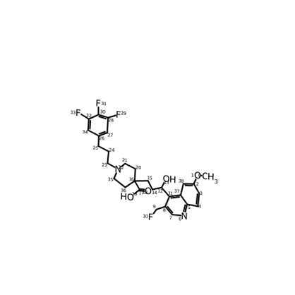 COc1ccc2ncc(CF)c(C(O)CCC3(C(=O)O)CCN(CCCc4cc(F)c(F)c(F)c4)CC3)c2c1